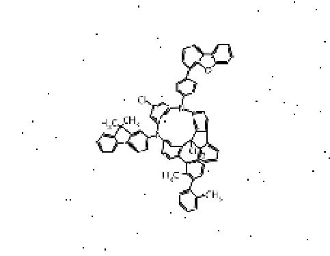 Cc1ccccc1-c1cccc(-c2ccc3cc2C2(C)c4ccccc4-c4ccc(cc42)N(c2ccc(-c4cccc5c4oc4ccccc45)cc2)c2cc(Cl)cc(c2)N3c2ccc3c(c2)C(C)(C)c2ccccc2-3)c1C